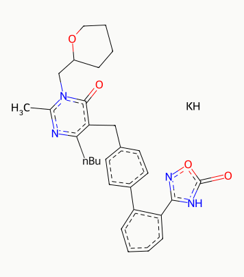 CCCCc1nc(C)n(CC2CCCCO2)c(=O)c1Cc1ccc(-c2ccccc2-c2noc(=O)[nH]2)cc1.[KH]